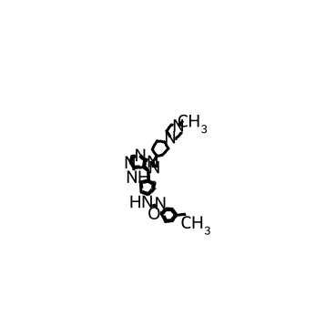 CCc1ccc2oc(Nc3ccc(-c4nn(C5CCC(N6CCN(C)CC6)CC5)c5ncnc(N)c45)cc3)nc2c1